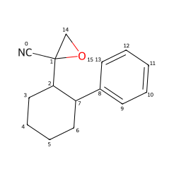 N#CC1(C2CCCCC2c2ccccc2)CO1